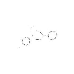 CC(O)CC1(c2ccc(Cl)cc2)C=CC(c2ccccc2F)=CC1